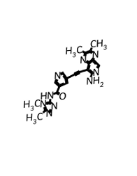 Cc1nc2cnc(N)c(C#Cc3cncc(C(=O)Nc4nnc(C)n4C)c3)c2nc1C